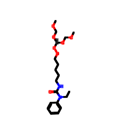 CCN(C(=O)NCCCCCOO[SiH](OCOC)OCOC)c1ccccc1